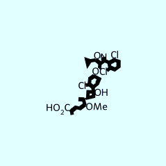 C=C(/C(=C\C=C(/C)C(=O)O)OC)[C@H]1C[C@](O)(c2ccc(OCc3c(-c4c(Cl)cccc4Cl)noc3C3CC3)cc2Cl)C1